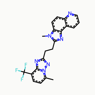 Cc1ccc(C(F)(F)F)c2nc(CCc3nc4c5cccnc5ccc4n3C)nn12